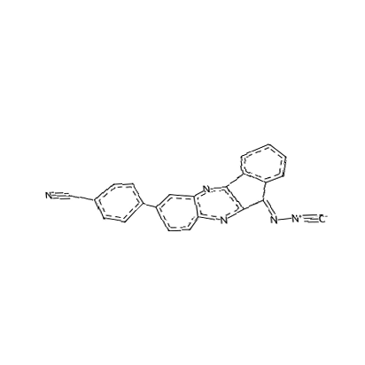 [C-]#[N+]/N=C1\c2ccccc2-c2nc3cc(-c4ccc(C#N)cc4)ccc3nc21